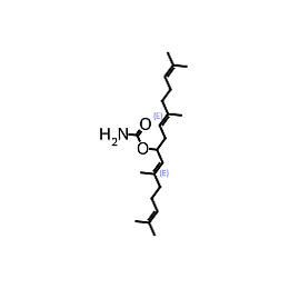 CC(C)=CCC/C(C)=C/CC(/C=C(\C)CCC=C(C)C)OC(N)=O